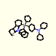 c1ccc(N(c2ccccc2)c2ccc([Si](c3ccccc3)(c3ccccc3)c3cccc4c5ccccc5n(-c5ccccc5)c34)cc2)cc1